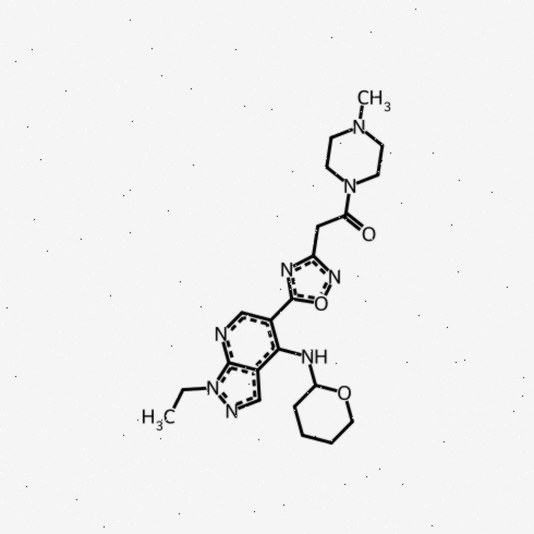 CCn1ncc2c(NC3CCCCO3)c(-c3nc(CC(=O)N4CCN(C)CC4)no3)cnc21